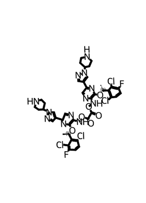 C[C@@H](Oc1nc(-c2cnn(C3CCNCC3)c2)cnc1NOC(=O)C(=O)ONc1ncc(-c2cnn(C3CCNCC3)c2)nc1O[C@H](C)c1c(Cl)ccc(F)c1Cl)c1c(Cl)ccc(F)c1Cl